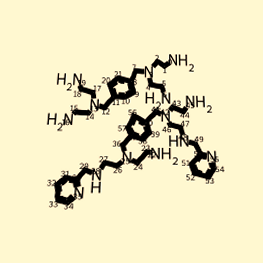 NCCN(CCN)Cc1ccc(CN(CCN)CCN)cc1.NCCN(CCNCc1ccccn1)Cc1ccc(CN(CCN)CCNCc2ccccn2)cc1